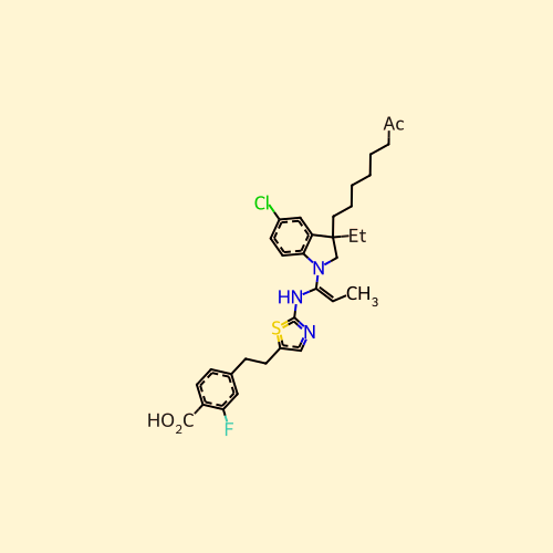 C/C=C(/Nc1ncc(CCc2ccc(C(=O)O)c(F)c2)s1)N1CC(CC)(CCCCCCC(C)=O)c2cc(Cl)ccc21